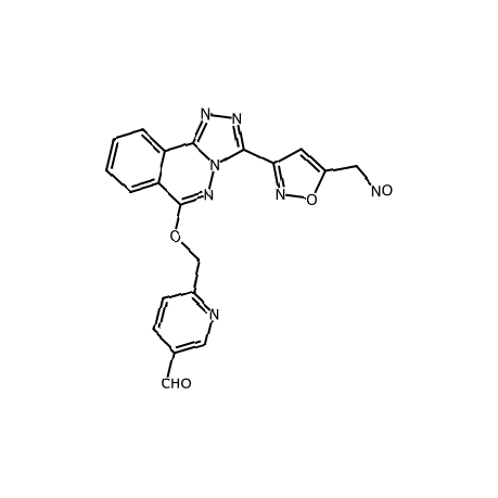 O=Cc1ccc(COc2nn3c(-c4cc(CN=O)on4)nnc3c3ccccc23)nc1